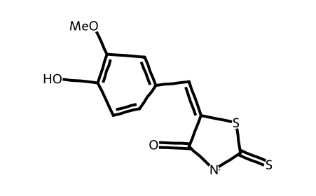 COc1cc(C=C2SC(=S)[N]C2=O)ccc1O